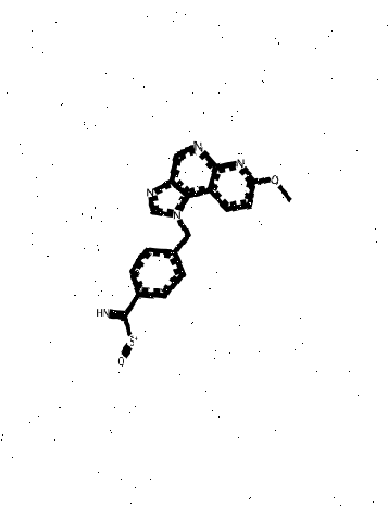 COc1ccc2c(ncc3ncn(Cc4ccc(C(=N)[S+]=O)cc4)c32)n1